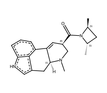 C[C@H]1C[C@H](C)N1C(=O)[C@@H]1C=C2c3cccc4[nH]cc(c34)C[C@@H]2N(C)C1